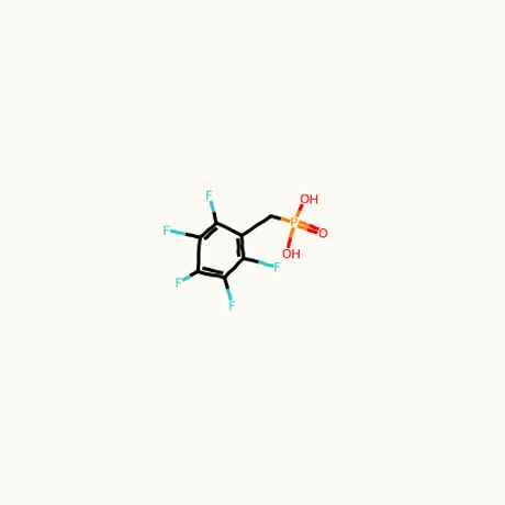 O=P(O)(O)Cc1c(F)c(F)c(F)c(F)c1F